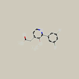 COc1c(CC(=O)O)ccnc1-c1cc(F)cc(F)c1